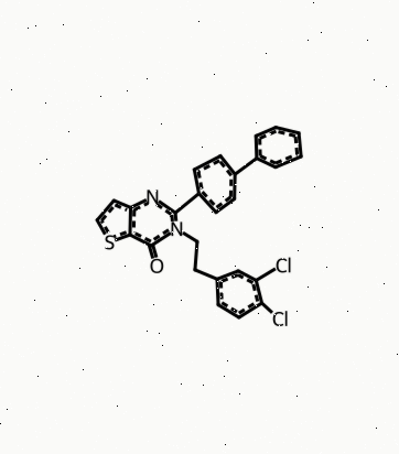 O=c1c2sccc2nc(-c2ccc(-c3ccccc3)cc2)n1CCc1ccc(Cl)c(Cl)c1